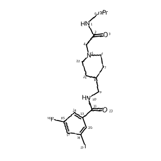 CCCNC(=O)CN1CCC(CNC(=O)c2cc(F)cc(I)c2)CC1